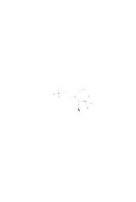 CC(=O)N1C(CNC(C)(C)C)CCCC12CC2